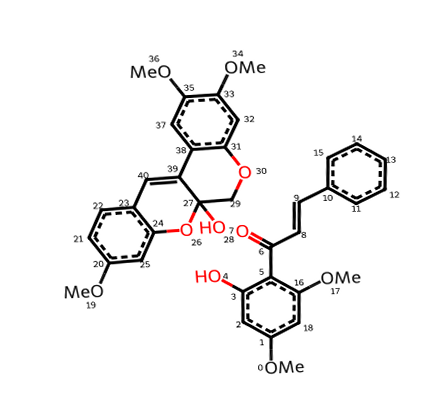 COc1cc(O)c(C(=O)C=Cc2ccccc2)c(OC)c1.COc1ccc2c(c1)OC1(O)COc3cc(OC)c(OC)cc3C1=C2